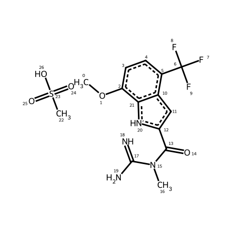 COc1ccc(C(F)(F)F)c2cc(C(=O)N(C)C(=N)N)[nH]c12.CS(=O)(=O)O